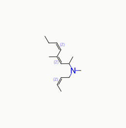 C/C=C\CN(C)C(C)/C=C(C)\C=C/CC